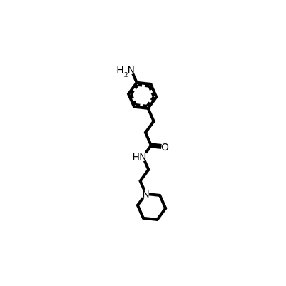 Nc1ccc(CCC(=O)NCCN2CCCCC2)cc1